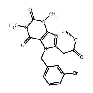 CCCOC(=O)Cc1nc2c(c(=O)n(C)c(=O)n2C)n1Cc1cccc(Br)c1